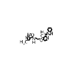 CCn1nc(C)cc1C(=O)NCCCOc1ccnc(Cn2cnc3ccccc32)c1C